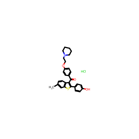 Cc1ccc2c(C(=O)c3ccc(OCCN4CCCCC4)cc3)c(-c3ccc(O)cc3)sc2c1.Cl